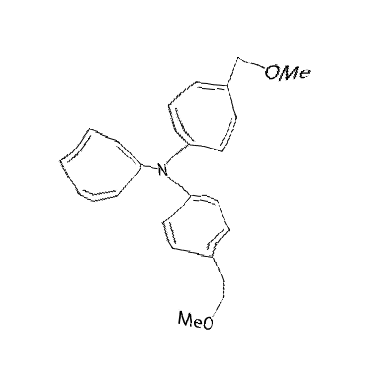 COCc1ccc(N(c2ccccc2)c2ccc(COC)cc2)cc1